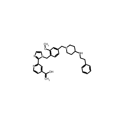 C=C(O)c1ccnc(-c2nccn2Cc2ccc(CN3CCC(NCCc4ccccc4)CC3)cc2OC)c1